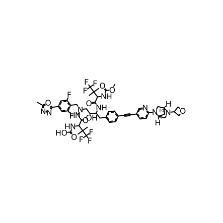 COC(=O)NC(C(=O)NC(Cc1ccc(C#Cc2ccc(N3C[C@H]4C[C@@H]3CN4C3COC3)nc2)cc1)C(O)CN(Cc1c(F)cc(-c2nnc(C)o2)cc1F)NC(=O)C(NC(=O)O)C(C)(C)C(F)(F)F)C(C)(C)C(F)(F)F